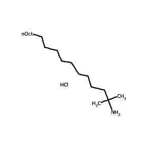 CCCCCCCCCCCCCCCCCC(C)(C)N.Cl